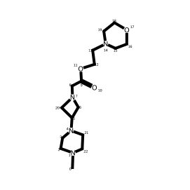 CN1CCN(C2CN(CC(=O)OCCN3CCOCC3)C2)CC1